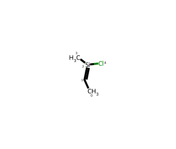 CC=[Si](C)Cl